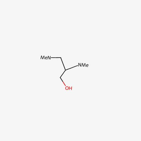 CNCC(CO)NC